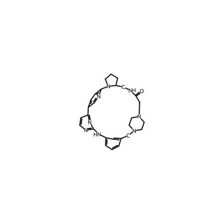 O=C1CN2CCN(CC2)Cc2cccc(c2)Nc2nccc(n2)-c2ccc(nc2)N2CCCC2CN1